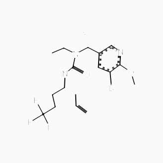 C=CC[C@H](CCC(F)(F)F)NC(=O)N(CC)[C@H](C)c1cnc(OC)c(Br)c1